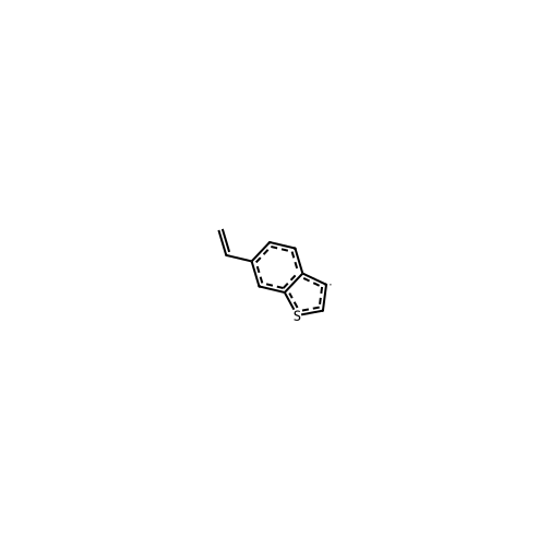 C=Cc1ccc2[c]csc2c1